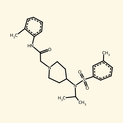 Cc1cccc(S(=O)(=O)N(C(C)C)C2CCN(CC(=O)Nc3ccccc3C)CC2)c1